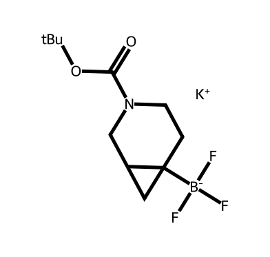 CC(C)(C)OC(=O)N1CCC2([B-](F)(F)F)CC2C1.[K+]